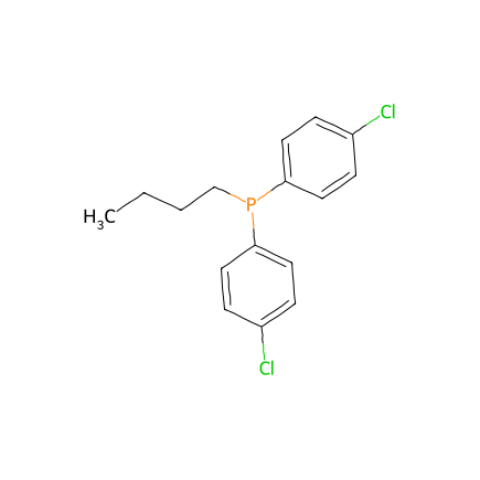 CCCCP(c1ccc(Cl)cc1)c1ccc(Cl)cc1